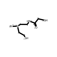 CC(C)N(CCS)CCNC(=O)CS